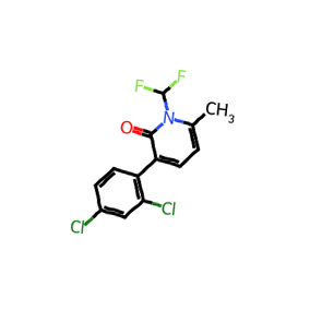 Cc1ccc(-c2ccc(Cl)cc2Cl)c(=O)n1C(F)F